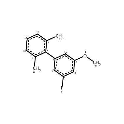 COc1cc(F)cc(-c2c(C)cccc2C)c1